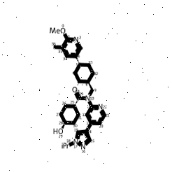 COc1ncc([C@H]2CC[C@H](CN(c3cc(-c4cnn(C(C)C)c4)ccn3)C(=O)[C@H]3CC[C@H](O)CC3)CC2)cc1C